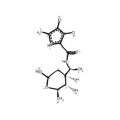 Cc1[nH]c(C(=O)N[C@@H](C)[C@]2(O)CC(O)O[C@H](C)[C@H]2O)c(Cl)c1Cl